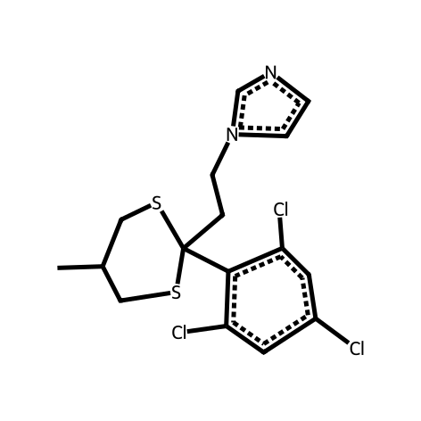 CC1CSC(CCn2ccnc2)(c2c(Cl)cc(Cl)cc2Cl)SC1